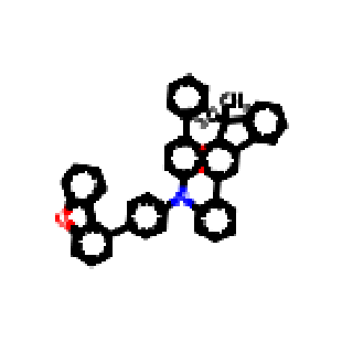 CC1(C)c2ccccc2-c2cc(-c3ccccc3N(c3ccc(-c4ccccc4)cc3)c3ccc(-c4cccc5oc6ccccc6c45)cc3)ccc21